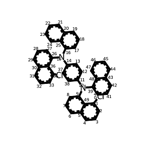 Clc1cccc2cccc(N(c3ccc(N(c4cccc5ccccc45)c4cccc5cccc(Cl)c45)cc3)c3cccc4ccccc34)c12